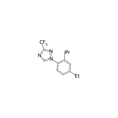 CCc1ccc(-n2cnc(C(F)(F)F)n2)c(C(C)C)c1